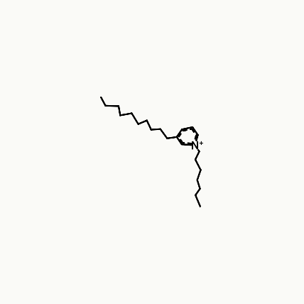 CCCCCCCCCCc1ccc[n+](CCCCCCC)c1